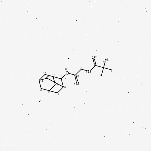 CCC(C)(C)C(=O)OCC(=O)OC1C2CC3CC(C2)CC1C3